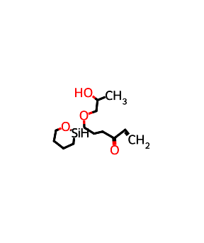 C=CC(=O)CCC(OCC(C)O)[SiH]1CCCCO1